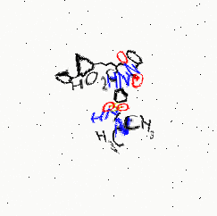 CN(C)CCNS(=O)(=O)c1ccc(NC(=O)N(CC2CCCCC2)C(=O)C(CCCc2ccc(-c3ccccc3)cc2)CC(=O)O)cc1